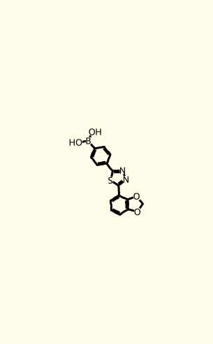 OB(O)c1ccc(-c2nnc(-c3cccc4c3OCO4)s2)cc1